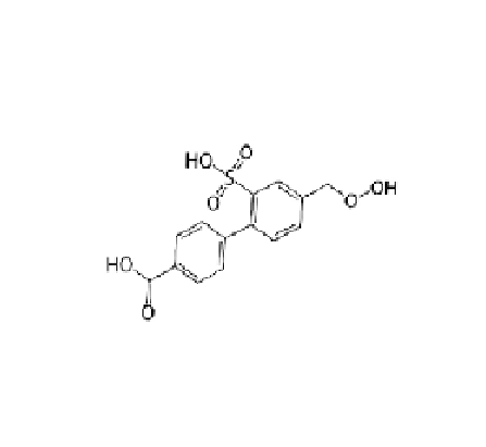 O=C(O)c1ccc(-c2ccc(COO)cc2S(=O)(=O)O)cc1